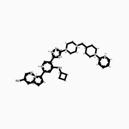 N#Cc1cnn2c(-c3cc(NC4CCC4)c(-c4nnc(N5CCN(CC6CCN(c7ccccn7)CC6)CC5)s4)cn3)ccc2c1